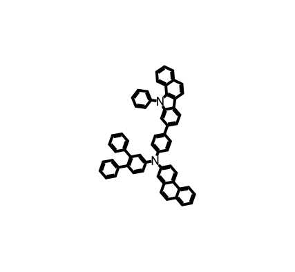 c1ccc(-c2ccc(N(c3ccc(-c4ccc5c6ccc7ccccc7c6n(-c6ccccc6)c5c4)cc3)c3ccc4c(ccc5ccccc54)c3)cc2-c2ccccc2)cc1